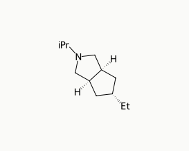 CC[C@H]1C[C@@H]2CN(C(C)C)C[C@@H]2C1